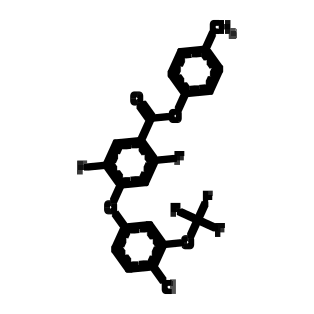 Cc1ccc(OC(=O)c2cc(F)c(Oc3ccc(Cl)c(OC(F)(F)F)c3)cc2F)cc1